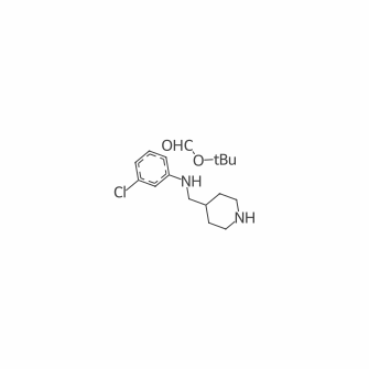 CC(C)(C)OC=O.Clc1cccc(NCC2CCNCC2)c1